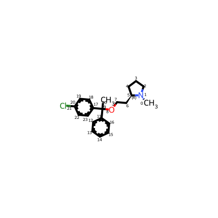 CN1CCC[C@@H]1CCOC(C)(c1ccccc1)c1ccc(Cl)cc1